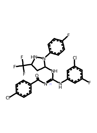 O=C(/N=C(/Nc1cc(F)cc(Cl)c1)NC1CC(C(F)(F)F)NN1c1ccc(F)cc1)c1ccc(Cl)cc1